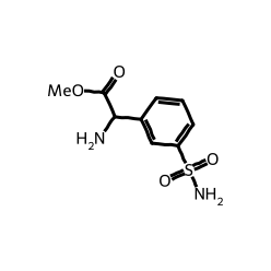 COC(=O)C(N)c1cccc(S(N)(=O)=O)c1